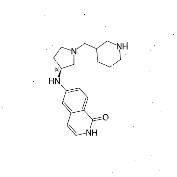 O=c1[nH]ccc2cc(N[C@H]3CCN(CC4CCCNC4)C3)ccc12